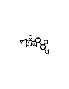 Cn1nc2c(-c3ccc(Cl)cc3Cl)cccc2c1C(=O)NCC1CC1